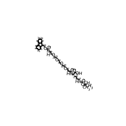 CC(C)(C)OC(=O)NCCCC[C@H](NC(=O)CCOCCOCCOCCOCCNC(=O)OCC1c2ccccc2-c2ccccc21)C(=O)O